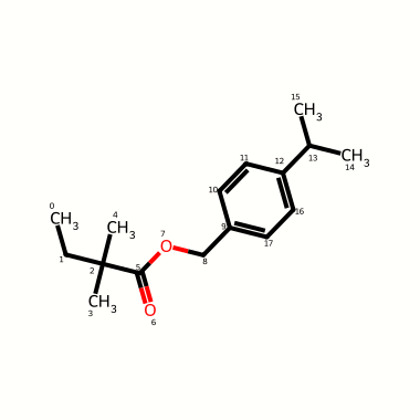 CCC(C)(C)C(=O)OCc1ccc(C(C)C)cc1